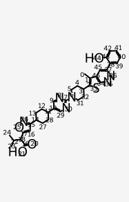 Cc1c(C2CCN(c3ncc(C4CCC(c5cc(C(C(=O)O)C(C)C)on5)CC4)cn3)CC2)sc2nnc(-c3ccccc3O)cc12